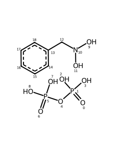 O=P(O)(O)OP(=O)(O)O.ON(O)Cc1ccccc1